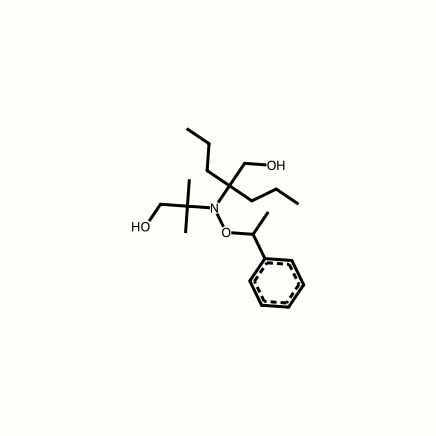 CCCC(CO)(CCC)N(OC(C)c1ccccc1)C(C)(C)CO